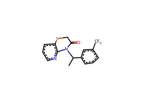 CC(c1cccc(C(F)(F)F)c1)N1C(=O)CSc2cccnc21